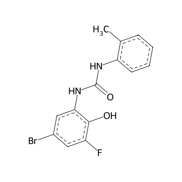 Cc1ccccc1NC(=O)Nc1cc(Br)cc(F)c1O